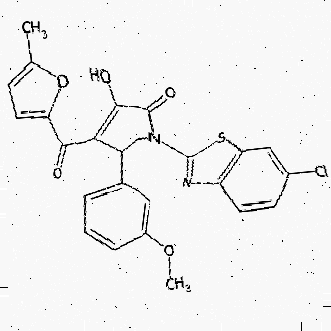 COc1cccc(C2C(C(=O)c3ccc(C)o3)=C(O)C(=O)N2c2nc3ccc(Cl)cc3s2)c1